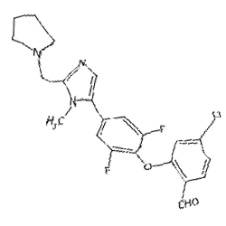 Cn1c(-c2cc(F)c(Oc3cc(Cl)ccc3C=O)c(F)c2)cnc1CN1CCCC1